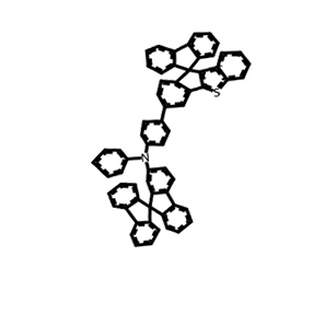 c1ccc(N(c2ccc(-c3ccc4c(c3)-c3sc5ccccc5c3C43c4ccccc4-c4ccccc43)cc2)c2ccc3c(c2)C2(c4ccccc4-c4ccccc42)c2ccccc2-3)cc1